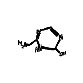 NC1=NC=NC(O)N1